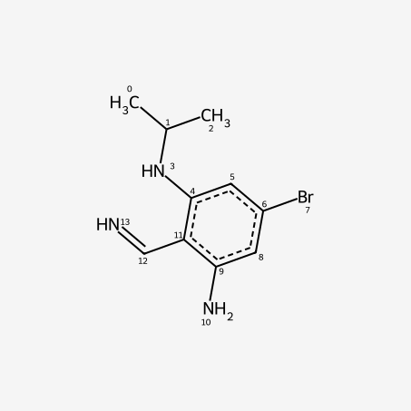 CC(C)Nc1cc(Br)cc(N)c1C=N